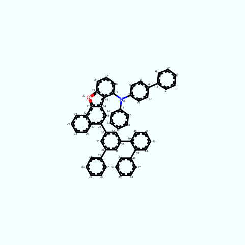 c1ccc(-c2ccc(N(c3ccccc3)c3cccc4oc5c6ccccc6c(-c6cc(-c7ccccc7)cc(-c7ccccc7-c7ccccc7)c6)cc5c34)cc2)cc1